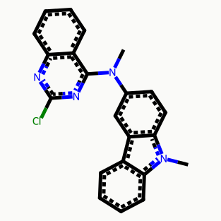 CN(c1ccc2c(c1)c1ccccc1n2C)c1nc(Cl)nc2ccccc12